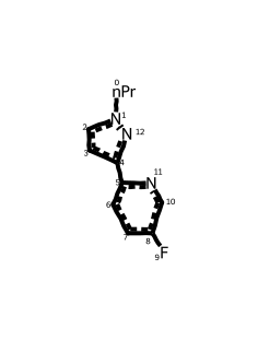 CCCn1ccc(-c2ccc(F)cn2)n1